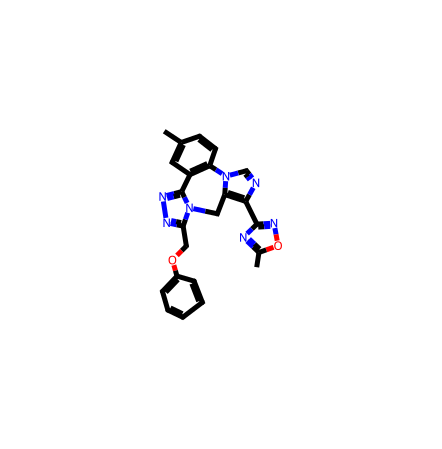 Cc1ccc2c(c1)-c1nnc(COc3ccccc3)n1Cc1c(-c3noc(C)n3)ncn1-2